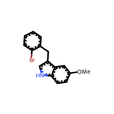 COc1ccc2[nH]cc(Cc3ccccc3Br)c2c1